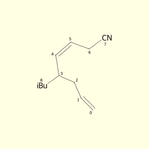 C=CCC(/C=C\CC#N)C(C)CC